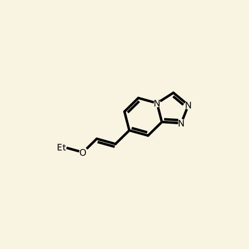 CCO/C=C/c1ccn2cnnc2c1